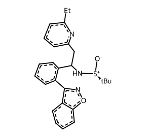 CCc1cccc(CC(N[S@@+]([O-])C(C)(C)C)c2ccccc2-c2noc3ccccc23)n1